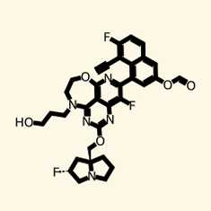 C#Cc1c(F)ccc2cc(OC=O)cc(-c3nc4c5c(nc(OC[C@@]67CCCN6C[C@H](F)C7)nc5c3F)N(CCCO)CCO4)c12